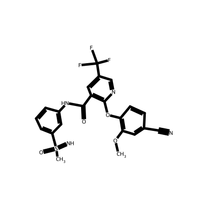 COc1cc(C#N)ccc1Oc1ncc(C(F)(F)F)cc1C(=O)Nc1cccc(S(C)(=N)=O)c1